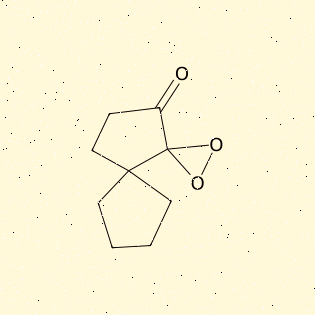 O=C1CCC2(CCCC2)C12OO2